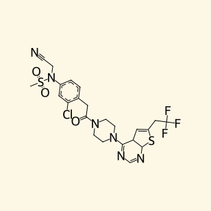 CS(=O)(=O)N(CC#N)c1ccc(CC(=O)N2CCN(C3=NC=NC4SC(CC(F)(F)F)=CC34)CC2)c(Cl)c1